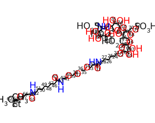 CCC1OC(OC2C(C(=O)O)OC(OC3C(O)CC(OC4C(C(=O)O)OC(OCCCCCCNC(=O)CCOCCOCCOCCNC(=O)CCCCCCCNC(=O)CCOCC(C)(C)CC)C(O)C4O)OC3COS(=O)(=O)O)C(O)C2O)C(NS(=O)(=O)O)C(O)C1O